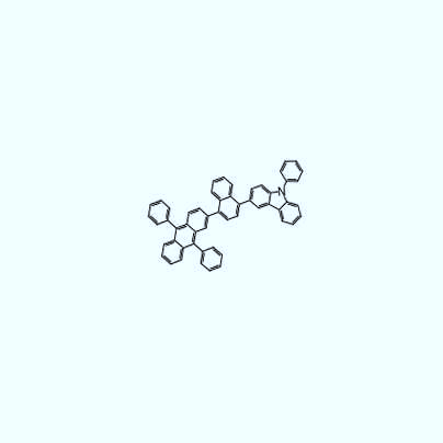 c1ccc(-c2c3ccccc3c(-c3ccccc3)c3cc(-c4ccc(-c5ccc6c(c5)c5ccccc5n6-c5ccccc5)c5ccccc45)ccc23)cc1